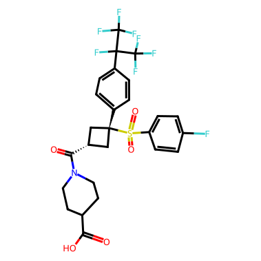 O=C(O)C1CCN(C(=O)[C@H]2C[C@@](c3ccc(C(F)(C(F)(F)F)C(F)(F)F)cc3)(S(=O)(=O)c3ccc(F)cc3)C2)CC1